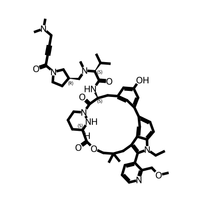 CCn1c(-c2cccnc2COC)c2c3cc(ccc31)-c1cc(O)cc(c1)C[C@H](NC(=O)[C@H](C(C)C)N(C)C[C@H]1CCN(C(=O)C#CCN(C)C)C1)C(=O)N1CCC[C@H](N1)C(=O)OCC(C)(C)C2